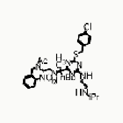 CCCCC(C)(NCCN(Cc1ccccc1[N+](=O)[O-])C(C)=O)c1nc(NCCNC(C)C)nc(SCc2ccc(Cl)cc2)n1